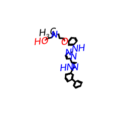 CN(CCO)CCCOc1cccc(Nc2nccc(-c3cnc(-c4cccc(-c5ccccc5)c4)[nH]3)n2)c1